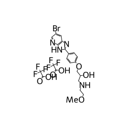 COCCNCC(O)COc1ccc(-c2nc3cc(Br)cnc3[nH]2)cc1.O=C(O)C(F)(F)F.O=C(O)C(F)(F)F